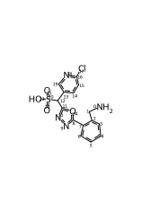 NCc1ccccc1-c1nnc(C(c2ccc(Cl)nc2)S(=O)(=O)O)o1